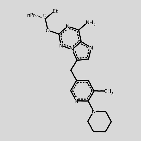 CCC[C@H](CC)Oc1nc(N)c2ncc(Cc3cnc(N4CCCCC4)c(C)c3)n2n1